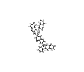 c1ccc2cc(-c3nc(-c4ccc5cc(-n6c7ccccc7c7cc8ccccc8cc76)ccc5c4)nc4sc5ccccc5c34)ccc2c1